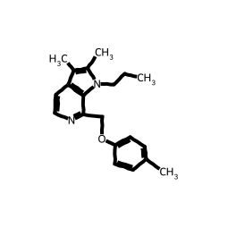 CCCn1c(C)c(C)c2ccnc(COc3ccc(C)cc3)c21